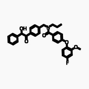 CCCN(Cc1ccc(C(=O)C(O)c2ccccc2)cc1)C(=O)c1ccc(Oc2ccc(F)cc2OC)cc1